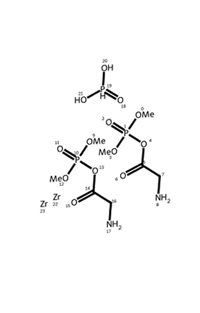 COP(=O)(OC)OC(=O)CN.COP(=O)(OC)OC(=O)CN.O=[PH](O)O.[Zr].[Zr]